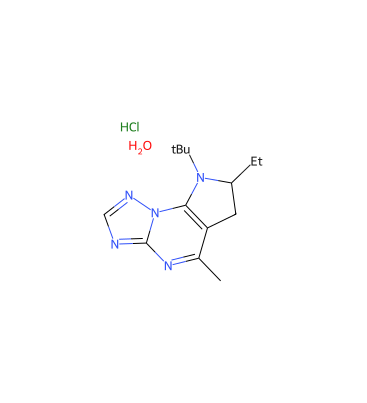 CCC1Cc2c(C)nc3ncnn3c2N1C(C)(C)C.Cl.O